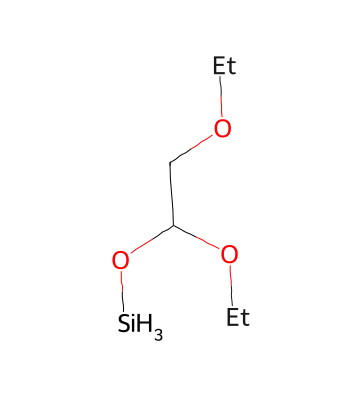 CCOCC(O[SiH3])OCC